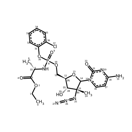 CCOC(=O)[C@H](C)NP(=O)(OC[C@H]1OC(n2ccc(N)nc2=O)[C@](C)(N=[N+]=[N-])[C@@H]1O)Oc1ccccc1Cl